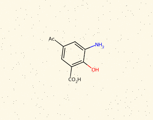 CC(=O)c1cc(N)c(O)c(C(=O)O)c1